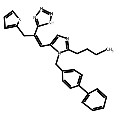 CCCCc1ncc(C=C(Cc2cccs2)c2nnn[nH]2)n1Cc1ccc(-c2ccccc2)cc1